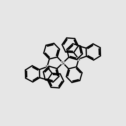 c1ccc([Si](c2ccccc2)(c2ccccc2-n2c3ccccc3c3ccccc32)c2ccccc2-n2c3ccccc3c3ccccc32)cc1